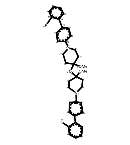 COC1(OC2(OC)CCN(c3ccc(-c4ccccc4F)cc3)CC2)CCN(c2ccc(-c3ccccc3F)cc2)CC1